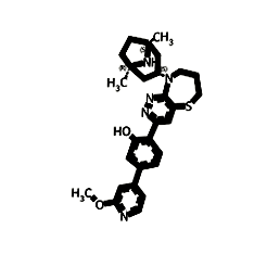 COc1cc(-c2ccc(-c3cc4c(nn3)N([C@H]3C[C@]5(C)CC[C@](C)(C3)N5)CCCS4)c(O)c2)ccn1